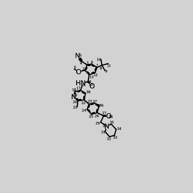 COc1c(C#N)cc(C(C)(C)C)cc1C(=O)Nc1cnc(C)c(-c2ccc(C(=O)CN3CCCCC3)cc2)c1